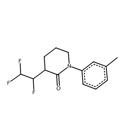 Cc1cccc(N2CCCC(C(F)C(F)F)C2=O)c1